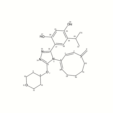 C=C1/C=C\C(n2c(OC3CCOCC3)nnc2-c2cc(C(C)C)c(O)cc2O)=C/CCCC1